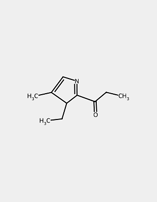 CCC(=O)C1=NC=C(C)C1CC